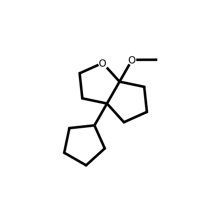 COC12CCCC1(C1CCCC1)CCO2